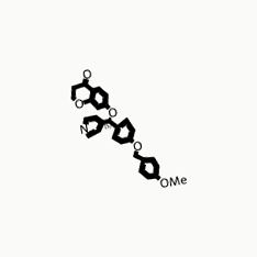 COc1ccc(COc2ccc([C@H](Oc3ccc4c(c3)OCCC4=O)c3ccncc3)cc2)cc1